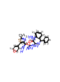 Cc1nc(C(=N)OC(=N)NC2N=C(c3ccccc3)c3ccccc3NC2=O)c(C2=CCOCC2)s1